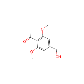 COc1cc(CO)cc(OC)c1C(C)=O